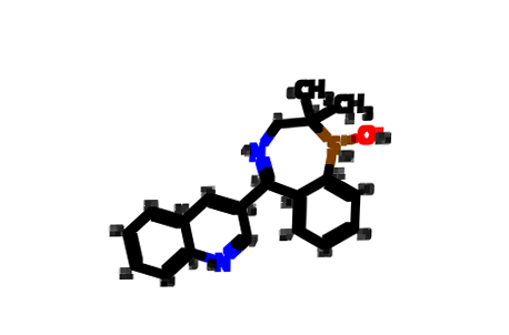 CC1(C)CN=C(c2cnc3ccccc3c2)c2ccccc2[S+]1[O-]